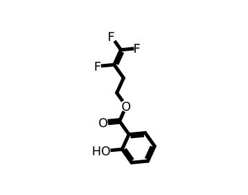 O=C(OCCC(F)=C(F)F)c1ccccc1O